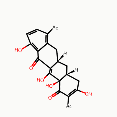 CC(=O)C1=C(O)C[C@H]2C[C@H]3Cc4c(C(C)=O)ccc(O)c4C(=O)C3=C(O)[C@@]2(O)C1=O